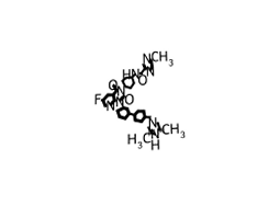 Cc1cnc(C(=O)NC2CCC(n3c(=O)c4cc(F)cnc4n(-c4cccc(-c5ccc(CN6C[C@@H](C)N[C@@H](C)C6)cc5)c4)c3=O)CC2)cn1